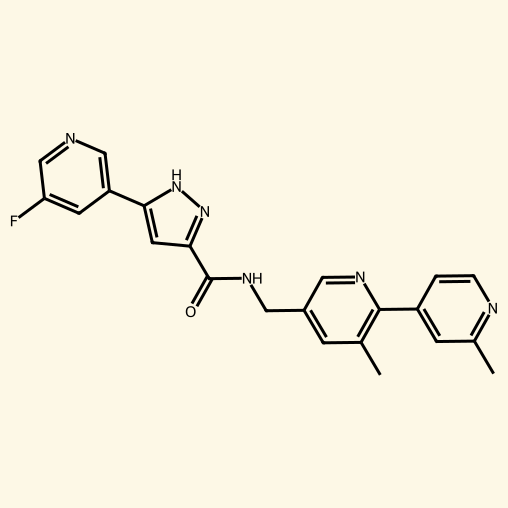 Cc1cc(-c2ncc(CNC(=O)c3cc(-c4cncc(F)c4)[nH]n3)cc2C)ccn1